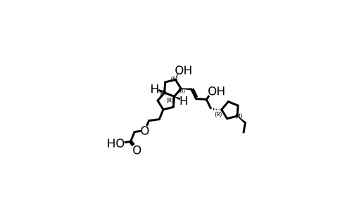 CC[C@@H]1CC[C@@H](CC(O)C=C[C@H]2[C@@H]3CC(CCOCC(=O)O)C[C@@H]3C[C@@H]2O)C1